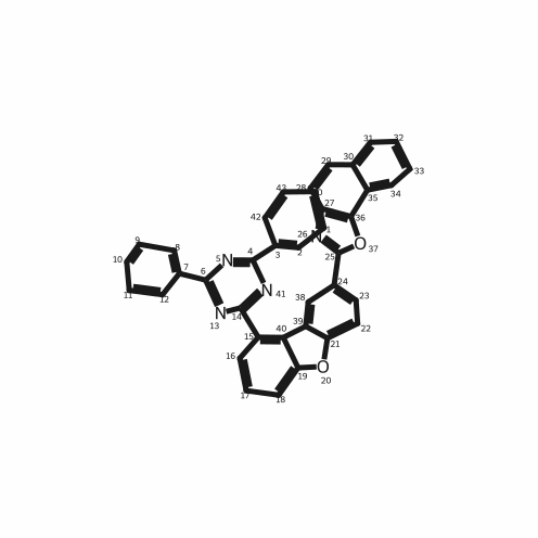 c1ccc(-c2nc(-c3ccccc3)nc(-c3cccc4oc5ccc(-c6nc7ccc8ccccc8c7o6)cc5c34)n2)cc1